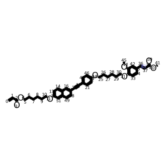 C=CC(=O)OCCCCCCOc1ccc2cc(C#Cc3ccc(OCCCCCCOc4ccc(/C=C/C(=O)OC)cc4OC)cc3)ccc2c1